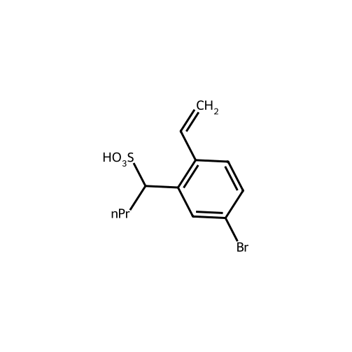 C=Cc1ccc(Br)cc1C(CCC)S(=O)(=O)O